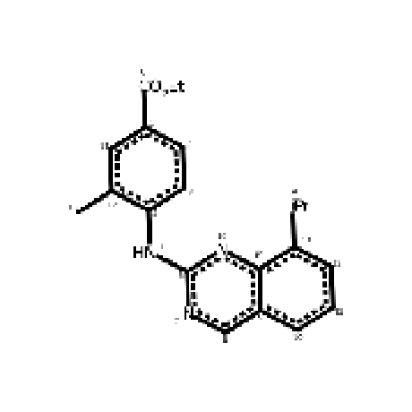 CCOC(=O)c1ccc(Nc2ncc3cccc(C(C)C)c3n2)c(C)c1